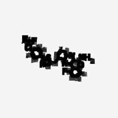 NC(=O)c1nc2cccc(Cc3cnc(-c4ccc(OC(F)F)cc4)s3)c2nc1-c1ccccc1F